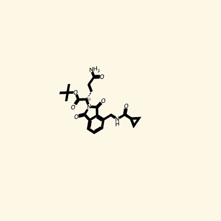 CC(C)(C)OC(=O)[C@H](CCC(N)=O)N1C(=O)c2cccc(CNC(=O)C3CC3)c2C1=O